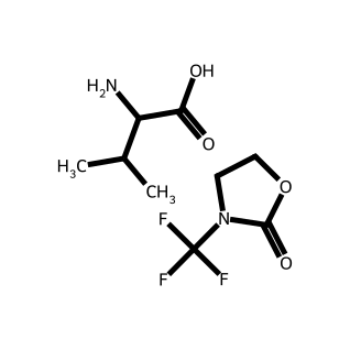 CC(C)C(N)C(=O)O.O=C1OCCN1C(F)(F)F